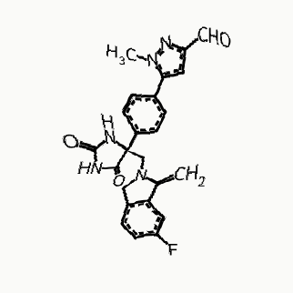 C=C1c2cc(F)ccc2CN1C[C@]1(c2ccc(-c3cc(C=O)nn3C)cc2)NC(=O)NC1=O